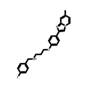 Cc1ccn2cc(-c3ccc(OCCCNCc4ccc(F)cc4)cc3)nc2c1